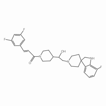 O=C(/C=C/c1cc(F)cc(F)c1)N1CCC(C(O)CN2CCC3(CC2)CNc2c(F)cccc23)CC1